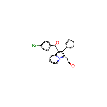 O=CCc1c(-c2ccccc2)c(C(=O)c2ccc(Br)cc2)c2ccccn12